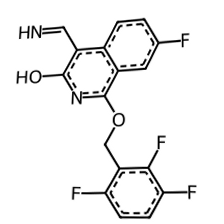 N=Cc1c(O)nc(OCc2c(F)ccc(F)c2F)c2cc(F)ccc12